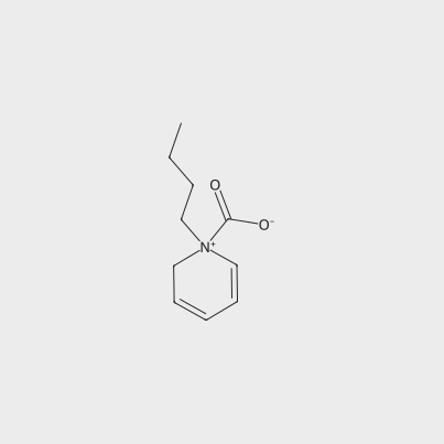 CCCC[N+]1(C(=O)[O-])C=CC=CC1